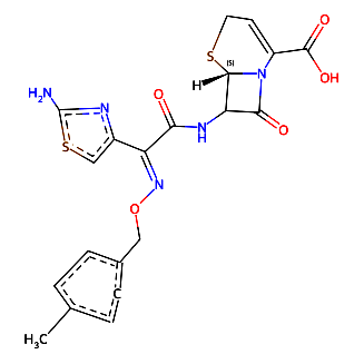 Cc1ccc(CON=C(C(=O)NC2C(=O)N3C(C(=O)O)=CCS[C@@H]23)c2csc(N)n2)cc1